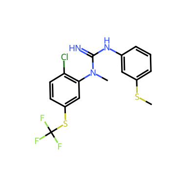 CSc1cccc(NC(=N)N(C)c2cc(SC(F)(F)F)ccc2Cl)c1